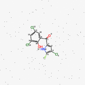 O=C(c1cc(Cl)c(F)[nH]1)c1cc(Cl)cc(Cl)c1O